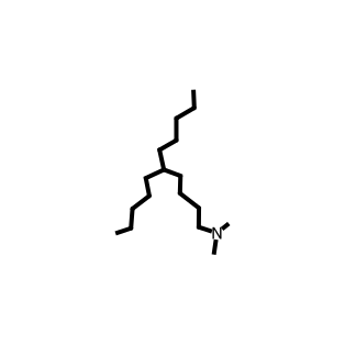 CCCCCC(CCCCC)CCCCN(C)C